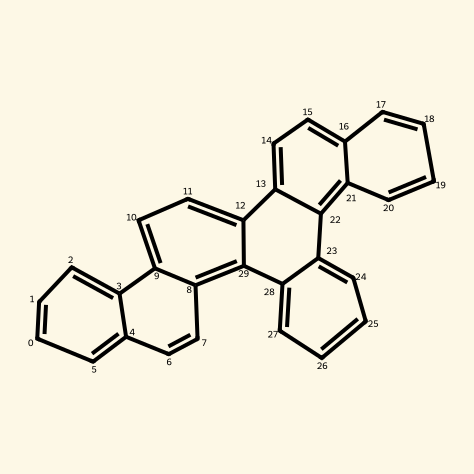 c1ccc2c(c1)ccc1c2ccc2c3ccc4ccccc4c3c3ccccc3c12